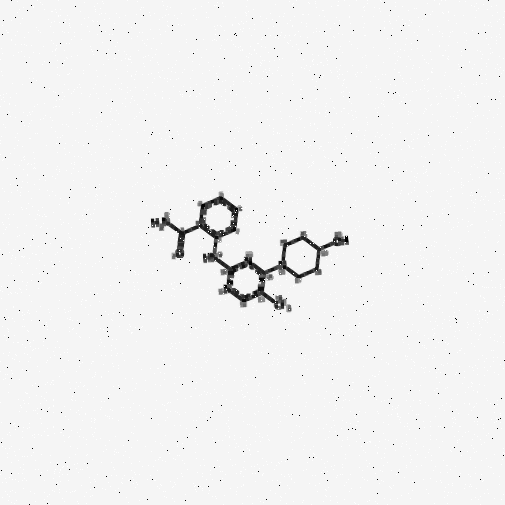 NC(=O)c1ccccc1Nc1ncc(C(F)(F)F)c(N2CCC(O)CC2)n1